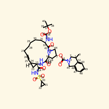 CC1CN(C(=O)O[C@@H]2C[C@H]3C(=O)N[C@]4(C(=O)NS(=O)(=O)C5CC5)C[C@H]4/C=C/CCCCC[C@H](NC(=O)OC(C)(C)C)C(=O)N3C2)Cc2ccccc21